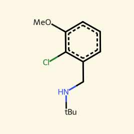 COc1cccc(CNC(C)(C)C)c1Cl